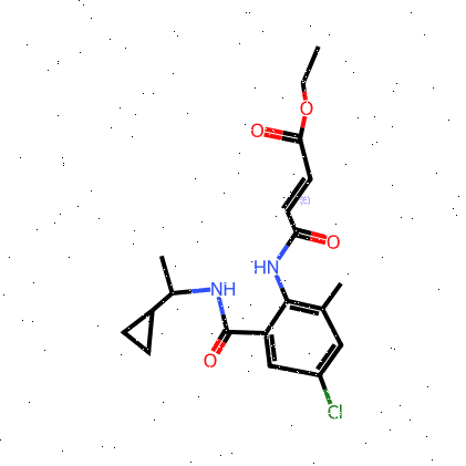 CCOC(=O)/C=C/C(=O)Nc1c(C)cc(Cl)cc1C(=O)NC(C)C1CC1